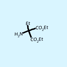 CCOC(=O)C(N)(CC)C(=O)OCC